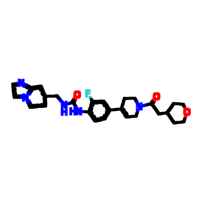 O=C(NCc1ccn2ccnc2c1)Nc1ccc(C2=CCN(C(=O)CC3CCOCC3)CC2)cc1F